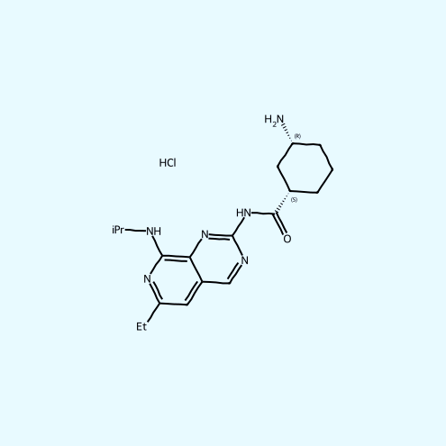 CCc1cc2cnc(NC(=O)[C@H]3CCC[C@@H](N)C3)nc2c(NC(C)C)n1.Cl